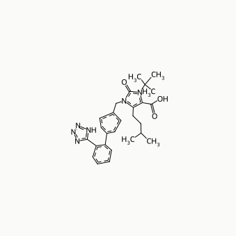 CC(C)CCc1c(C(=O)O)n(C(C)(C)C)c(=O)n1Cc1ccc(-c2ccccc2-c2nnn[nH]2)cc1